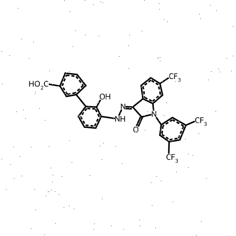 O=C(O)c1cccc(-c2cccc(NN=C3C(=O)N(c4cc(C(F)(F)F)cc(C(F)(F)F)c4)c4cc(C(F)(F)F)ccc43)c2O)c1